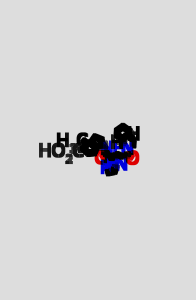 Cc1c(C(=O)O)ccc2c1CC[C@@H]2NC(=O)c1cc(C(=O)N2CC[C@H]3CCCC[C@@H]3C2)nc2ccnn12